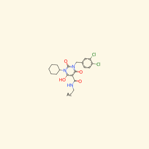 CC(=O)CNC(=O)c1c(O)n(C2CCCCC2)c(=O)n(Cc2ccc(Cl)c(Cl)c2)c1=O